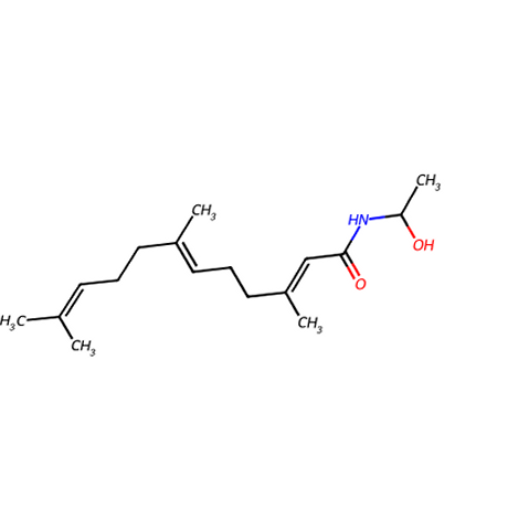 CC(C)=CCCC(C)=CCCC(C)=CC(=O)NC(C)O